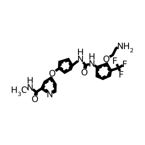 CNC(=O)c1cc(Oc2ccc(NC(=O)Nc3cccc(C(F)(F)F)c3OCCN)cc2)ccn1